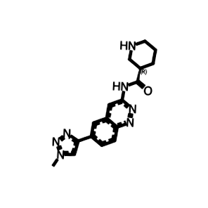 Cn1cc(-c2ccc3nnc(NC(=O)[C@@H]4CCCNC4)cc3c2)nn1